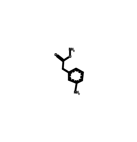 NOC(=O)Cc1cccc(N)c1